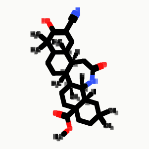 COC(=O)C12CCC(C)(C)C[C@H]1[C@H]1NC(=O)C[C@@H]3[C@@]4(C)CC(C#N)=C(O)C(C)(C)C4CC[C@@]3(C)[C@]1(C)CC2